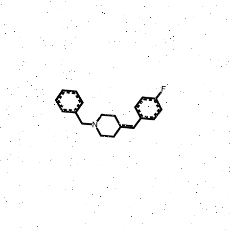 Fc1ccc(C=C2CCN(Cc3ccccc3)CC2)cc1